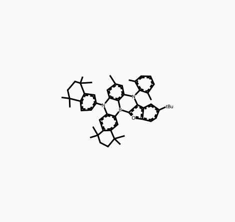 Cc1cc2c3c(c1)N(c1c(C)cccc1C)c1c(oc4ccc(C(C)(C)C)cc14)B3c1cc3c(cc1N2c1ccc2c(c1)C(C)(C)CCC2(C)C)C(C)(C)CCC3(C)C